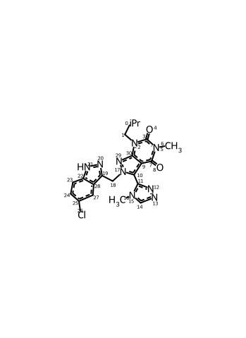 CC(C)Cn1c(=O)n(C)c(=O)c2c(-c3nncn3C)n(Cc3n[nH]c4ccc(Cl)cc34)nc21